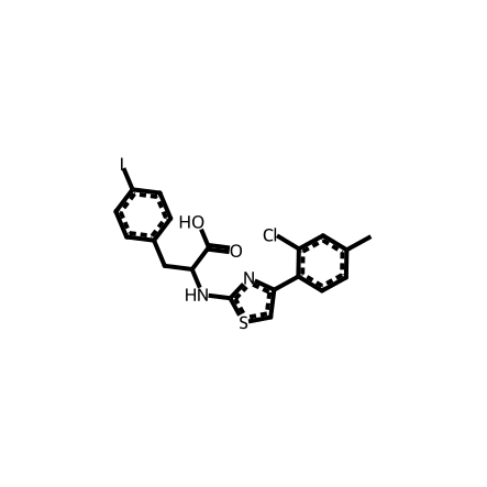 Cc1ccc(-c2csc(NC(Cc3ccc(I)cc3)C(=O)O)n2)c(Cl)c1